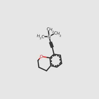 C[Si](C)(C)C#Cc1cccc2c1OCCC2